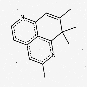 CC1=Cc2nccc3cc(C)nc(c23)C1(C)C